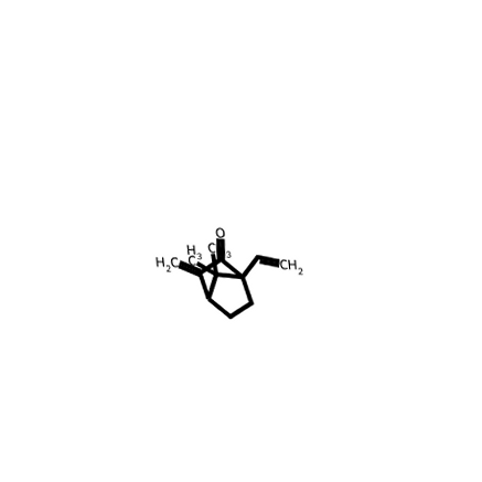 C=CC12CCC(C(=C)C1=O)C2(C)C